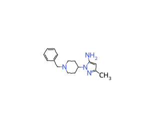 Cc1cc(N)n(C2CCN(Cc3ccccc3)CC2)n1